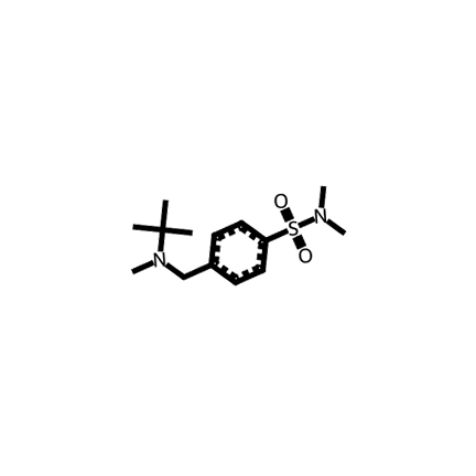 CN(Cc1ccc(S(=O)(=O)N(C)C)cc1)C(C)(C)C